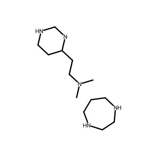 C1CNCCNC1.CN(C)CCC1CCNC[N]1